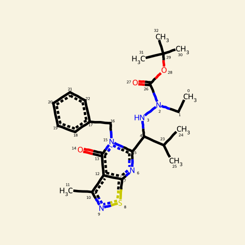 CCN(NC(c1nc2snc(C)c2c(=O)n1Cc1ccccc1)C(C)C)C(=O)OC(C)(C)C